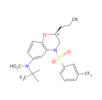 CC(C)(N(C(=O)O)c1ccc2c(c1)N(S(=O)(=O)c1cccc(C(F)(F)F)c1)C[C@H](CCC#N)O2)C(F)(F)F